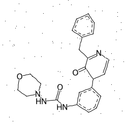 O=C(Nc1cccc(C2C=CN=C(Cc3ccccc3)C2=O)c1)NN1CCOCC1